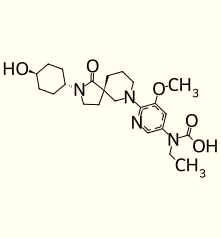 CCN(C(=O)O)c1cnc(N2CCC[C@]3(CCN([C@H]4CC[C@H](O)CC4)C3=O)C2)c(OC)c1